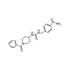 NC(=O)c1ccc(CNC(=O)NC2CCN(C(=O)c3ccccc3)CC2)cc1